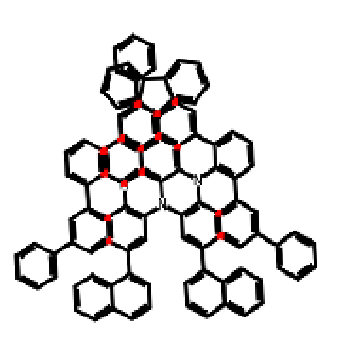 c1ccc(-c2cccc(-c3cccc(-c4cccc(-c5ccccc5)c4)c3N3c4ccc(-c5cccc6ccccc56)cc4N4c5cc(-c6cccc7ccccc67)ccc5N(c5c(-c6cccc(-c7ccccc7)c6)cccc5-c5cccc(-c6ccccc6)c5)c5cc(-n6c7ccccc7c7ccccc76)cc3c54)c2)cc1